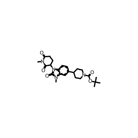 CN1C(=O)CCC(n2c(=O)n(C)c3cc(C4CCN(C(=O)OC(C)(C)C)CC4)ccc32)C1=O